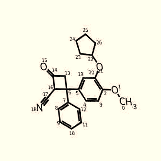 COc1ccc(C2(c3ccccc3)CC(=O)C2C#N)cc1OC1CCCC1